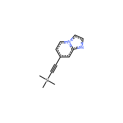 C[Si](C)(C)C#Cc1ccn2ccnc2c1